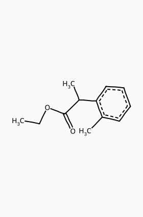 CCOC(=O)C(C)c1ccccc1C